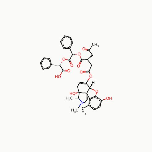 CC(=O)C[C@@H](CC(=O)OC1=CC[C@@]2(O)[C@@H](C)N(C)CC[C@@]23c2c(C)ccc(O)c2O[C@@H]13)C(=O)O[C@H](C(=O)O[C@H](C(=O)O)c1ccccc1)c1ccccc1